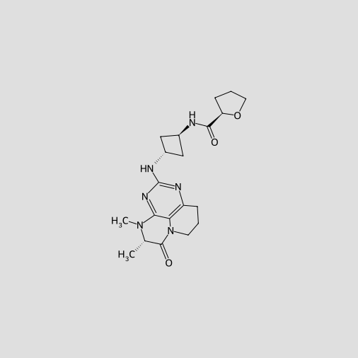 C[C@H]1C(=O)N2CCCc3nc(N[C@H]4C[C@H](NC(=O)[C@H]5CCCO5)C4)nc(c32)N1C